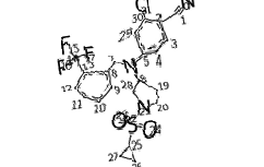 N#Cc1ccc(N(Cc2ccccc2C(F)(F)F)[C@H]2CCN(S(=O)(=O)C3CC3)C2)cc1Cl